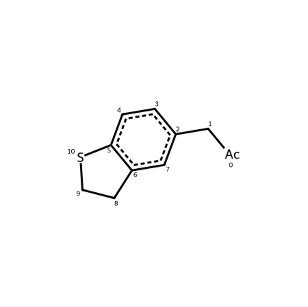 CC(=O)Cc1ccc2c(c1)CCS2